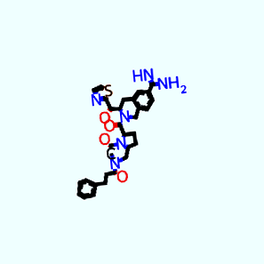 N=C(N)c1ccc2c(c1)CC(C(=O)c1nccs1)N(C(=O)C1CCC3CN(C(=O)CCc4ccccc4)CC(=O)N31)C2